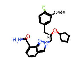 COc1cc(C[C@H](Cn2cc3cccc(C(N)=O)c3n2)OC2CCCC2)ccc1F